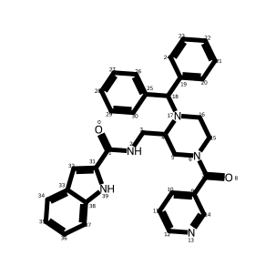 O=C(NCC1CN(C(=O)c2cccnc2)CCN1C(c1ccccc1)c1ccccc1)c1cc2ccccc2[nH]1